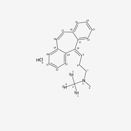 Cl.[2H]C([2H])([2H])N(C)CCC=C1c2ccccc2C=Cc2ccccc21